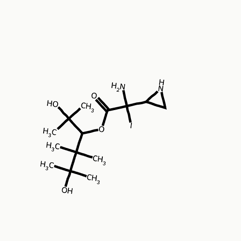 CC(C)(O)C(OC(=O)C(N)(I)C1CN1)C(C)(C)C(C)(C)O